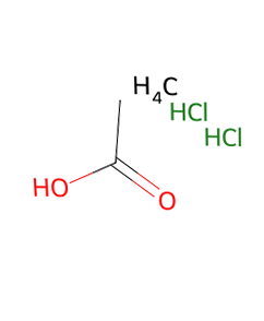 C.CC(=O)O.Cl.Cl